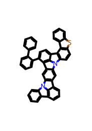 c1ccc(-c2ccccc2-c2ccc3c4c5c(ccc4n4c6cc7c8cccc9c%10ccccc%10n(c7cc6c2c34)c98)sc2ccccc25)cc1